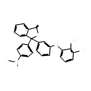 CCN(CC)c1ccc(C2(c3cccc(Nc4cccc(C(F)(F)F)c4OC)c3)OC(=O)c3ccccc32)c(O)c1